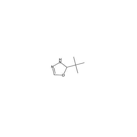 CC(C)(C)C1NN=CO1